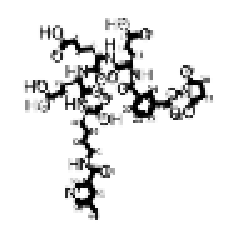 O=C(O)CCC[C@@H](NC(=O)[C@@H](CCC(=O)O)NC(=O)c1cccc(C(=O)ON2C(=O)CCC2=O)c1)C(=O)N[C@H](CCC(O)O)C(=O)N[C@H](CCCCNC(=O)c1cncc(I)c1)C(=O)O